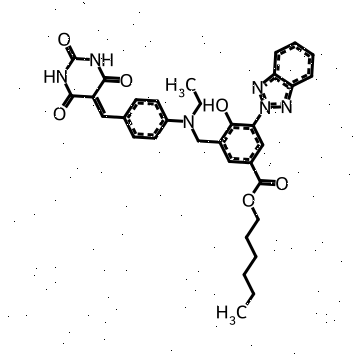 CCCCCCOC(=O)c1cc(CN(CC)c2ccc(C=C3C(=O)NC(=O)NC3=O)cc2)c(O)c(-n2nc3ccccc3n2)c1